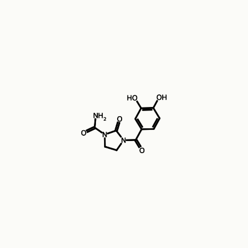 NC(=O)N1CCN(C(=O)c2ccc(O)c(O)c2)C1=O